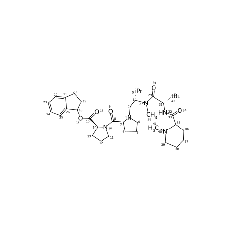 CC(C)[C@@H](CN1CCC[C@H]1C(=O)N1CCC[C@H]1C(=O)OC1CCc2ccccc21)N(C)C(=O)[C@@H](NC(=O)C1CCCCN1C)C(C)(C)C